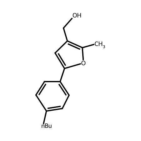 CCCCc1ccc(-c2cc(CO)c(C)o2)cc1